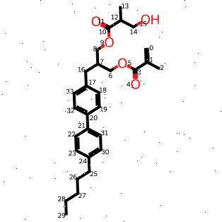 C=C(C)C(=O)OCC(COC(=O)C(C)CO)Cc1ccc(-c2ccc(CCCCC)cc2)cc1